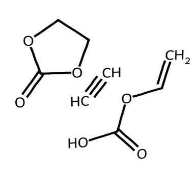 C#C.C=COC(=O)O.O=C1OCCO1